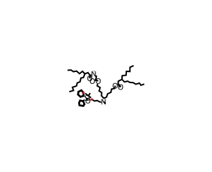 CCCCCCCCC(CCCCCC)CC(=O)OCCCCCC(CCCCCOC(=O)CN(C)C(=O)CC(CCCCCC)CCCCCCCC)N(C)CCCCO[Si](c1ccccc1)(c1ccccc1)C(C)(C)C